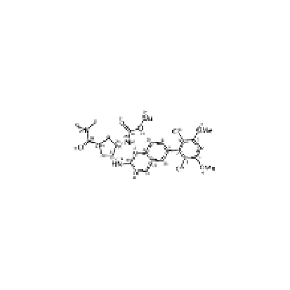 COc1cc(OC)c(Cl)c(-c2ccc3nc(N[C@@H]4C[C@@H](C(=O)N(C)C)C[C@@H]4NC(=O)OC(C)(C)C)ncc3c2)c1Cl